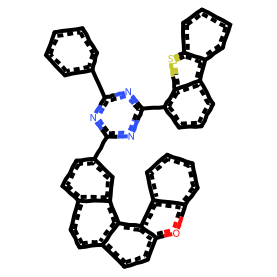 c1ccc(-c2nc(-c3ccc4ccc5ccc6oc7ccccc7c6c5c4c3)nc(-c3cccc4c3sc3ccccc34)n2)cc1